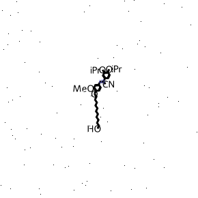 COc1cc(/C=C(\C#N)c2ccc(OC(C)C)c(OC(C)C)c2)ccc1OCCCCCCCCCCCO